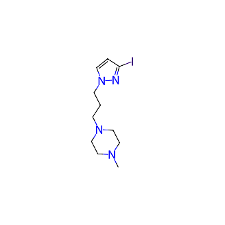 CN1CCN(CCCn2ccc(I)n2)CC1